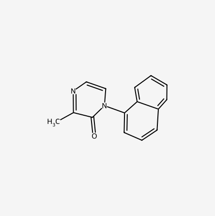 Cc1nccn(-c2cccc3ccccc23)c1=O